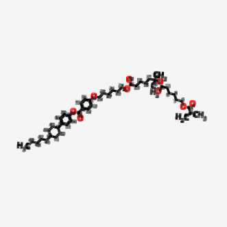 C=C(C)C(=O)OCCCCCC(=O)OC(C)(C)CCCCC(=O)OCCCCCCOc1ccc(C(=O)Oc2ccc(C3CCC(CCCCC)CC3)cc2)cc1